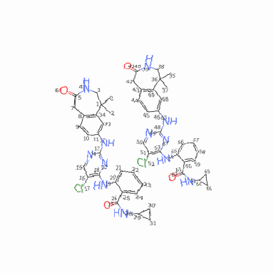 CC1(C)CNC(=O)Cc2ccc(Nc3ncc(Cl)c(Nc4ccccc4C(=O)NC4CC4)n3)cc21.CC1(C)CNC(=O)Cc2ccc(Nc3ncc(Cl)c(Nc4ccccc4C(=O)NC4CC4)n3)cc21